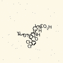 CC1(CNC(=O)O)CCN(c2cc3c(c(-c4cccc(Cl)c4Cl)cn3COCC[Si](C)(C)C)c(=O)[nH]2)CC1